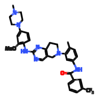 COc1cc(N2CCN(C)CC2)ccc1Nc1ncc2c(n1)CCN(c1cc(NC(=O)c3cccc(C(F)(F)F)c3)ccc1C)C2